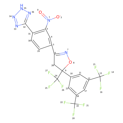 O=[N+]([O-])c1cc(C2=NOC(c3cc(C(F)(F)F)cc(C(F)(F)F)c3)(C(F)(F)F)C2)ccc1-c1nn[nH]n1